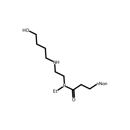 CCCCCCCCCCCC(=O)N(CC)CCNCCCCO